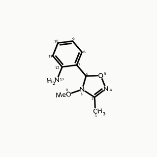 CON1C(C)=NOC1c1ccccc1N